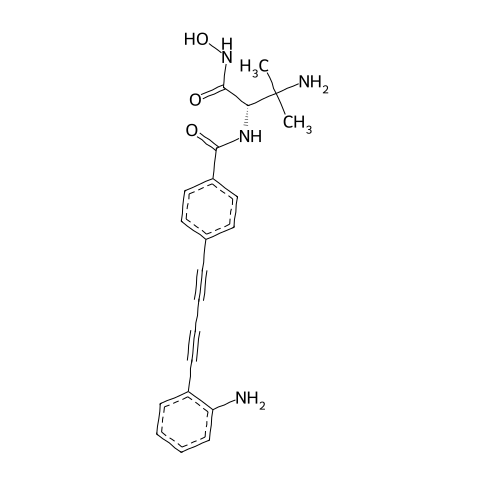 CC(C)(N)[C@H](NC(=O)c1ccc(C#CC#Cc2ccccc2N)cc1)C(=O)NO